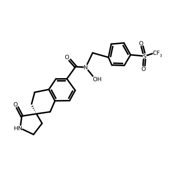 O=C(c1ccc2c(c1)CC[C@@]1(CCNC1=O)C2)N(O)Cc1ccc(S(=O)(=O)C(F)(F)F)cc1